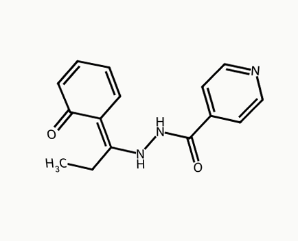 CCC(NNC(=O)c1ccncc1)=C1C=CC=CC1=O